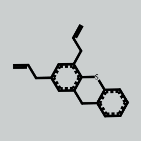 C=CCc1cc(CC=C)c2c(c1)Cc1ccccc1S2